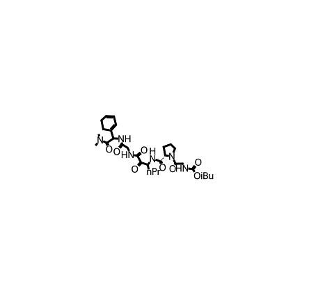 CCCC(NC(=O)[C@@H]1CCCN1C(=O)CNC(=O)OCC(C)C)C(=O)C(=O)NCC(=O)NC(C(=O)N(C)C)C1=CC=CCC1